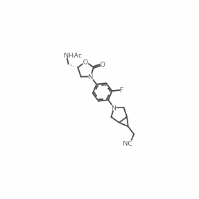 CC(=O)NC[C@H]1CN(c2ccc(N3CC4C(CC#N)C4C3)c(F)c2)C(=O)O1